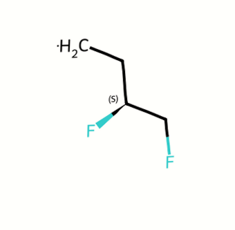 [CH2]C[C@H](F)CF